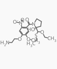 CCOC(SCC)[C@@]1(O)CCCN1C(=O)c1cc(OC)c(OCCN)cc1[N+](=O)[O-]